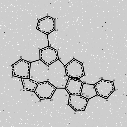 c1ccc(-c2cc(-c3ccccc3)nc(-c3cccc4oc5ccc(-c6ccc7c8c(cccc68)-c6ccccc6-7)cc5c34)c2)cc1